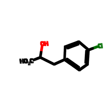 O=C(O)C(O)Cc1ccc(Cl)cc1